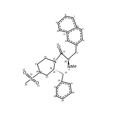 CN[C@H](Cc1ccc2ccccc2c1)C(=O)N1CCN(S(C)(=O)=O)C[C@H]1Cc1ccccc1